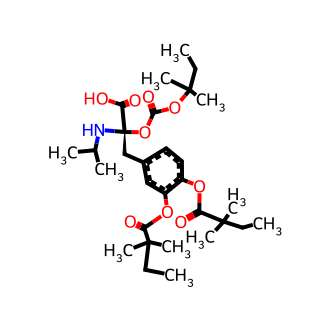 CCC(C)(C)OC(=O)O[C@](Cc1ccc(OC(=O)C(C)(C)CC)c(OC(=O)C(C)(C)CC)c1)(NC(C)C)C(=O)O